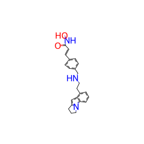 O=C(/C=C/c1ccc(CNCCc2cccc3c2cc2n3CCC2)cc1)NO